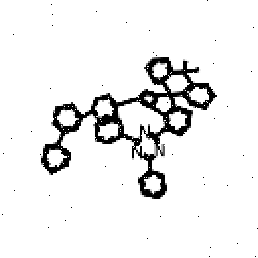 CC1(C)c2ccccc2C2(c3ccc(-c4ccc(-c5cccc(-c6ccccc6)c5)cc4)cc3-c3c(-c4nc(-c5ccccc5)nc(-c5ccccc5)n4)cccc32)c2ccccc21